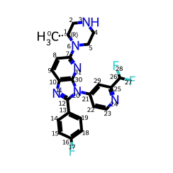 C[C@@H]1CNCCN1c1ccc2nc(-c3ccc(F)cc3)n(-c3ccnc(C(F)F)c3)c2n1